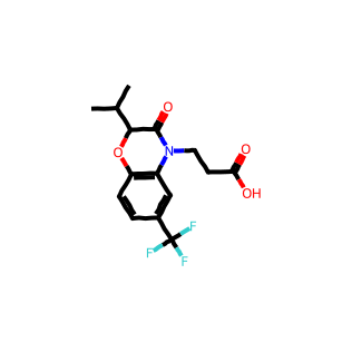 CC(C)C1Oc2ccc(C(F)(F)F)cc2N(CCC(=O)O)C1=O